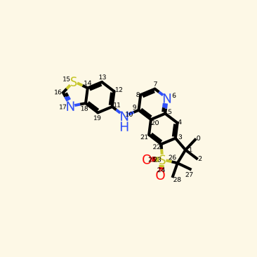 CC1(C)c2cc3nccc(Nc4ccc5scnc5c4)c3cc2S(=O)(=O)C1(C)C